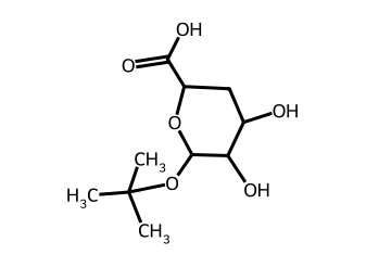 CC(C)(C)OC1OC(C(=O)O)CC(O)C1O